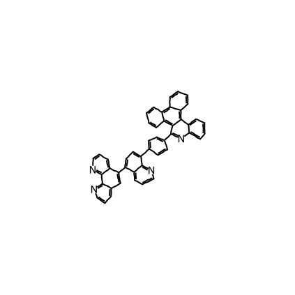 c1cnc2c(c1)cc(-c1ccc(-c3ccc(-c4nc5ccccc5c5c6ccccc6c6ccccc6c45)cc3)c3ncccc13)c1cccnc12